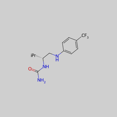 CC(C)[C@H](CNc1ccc(C(F)(F)F)cc1)NC(N)=O